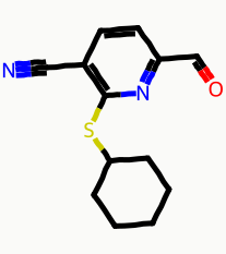 N#Cc1ccc(C=O)nc1SC1CCCCC1